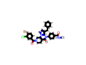 CCNC(=O)c1ccc(-n2c(=O)c3c(n4ncc(Cc5ccccc5)c24)CN(C(=O)c2ccc(Br)c(Cl)c2)CC3)cc1